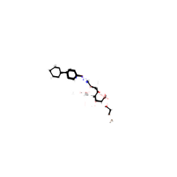 CCSCCCO[C@]1(C(=O)O)C[C@H](O)[C@@H](NC(C)=O)C([C@H](C)C(O)CNC(=O)c2ccc(C3CCCCC3)cc2)O1